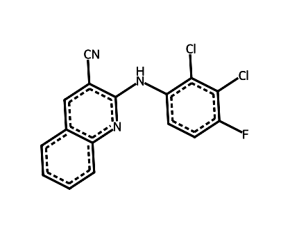 N#Cc1cc2ccccc2nc1Nc1ccc(F)c(Cl)c1Cl